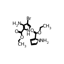 CCOC(=O)c1[nH]cc(Br)c1N.CCOC(=O)c1cccn1N